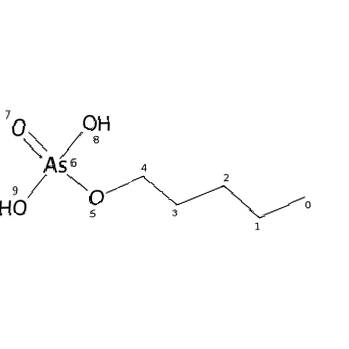 CCCCCO[As](=O)(O)O